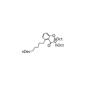 CCCCCCCCCCCCCCCc1cccc(OCCCCCCCC)c1C(=O)OCCCCCCCC